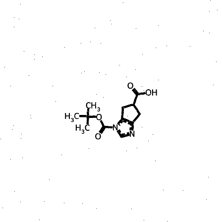 CC(C)(C)OC(=O)n1cnc2c1CC(C(=O)O)C2